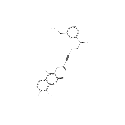 CCCC(CCC#CC(=O)Cc1c(C)c2ccc(O)c(O)c2oc1=O)c1cccc(CNC)c1